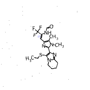 CCSc1c(-c2nc(/C=C(\NC=O)C(F)(F)F)c(C)n2C)nc2n1CCCC2